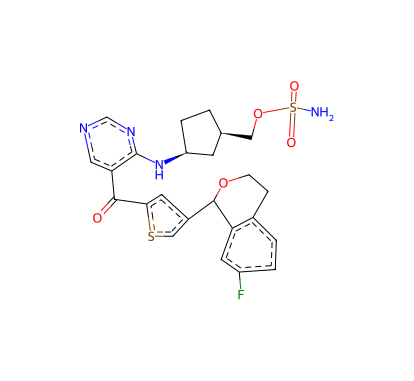 NS(=O)(=O)OC[C@@H]1CC[C@H](Nc2ncncc2C(=O)c2cc(C3OCCc4ccc(F)cc43)cs2)C1